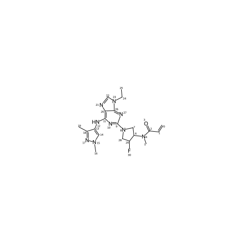 C=CC(=O)N(C)C1CN(c2nc(Nc3cn(C)nc3C)c3ncn(CC)c3n2)CC1F